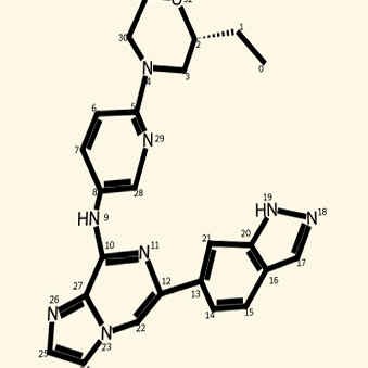 CC[C@@H]1CN(c2ccc(Nc3nc(-c4ccc5cn[nH]c5c4)cn4ccnc34)cn2)CCO1